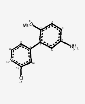 COc1ccc(N)cc1-c1ccnc(Cl)c1